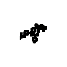 C[C@]1(NC(=O)C2CCc3c(-c4cccc(OC(F)F)c4)nn(C(=O)C4CCOCC4)c3C2)CCS(=O)(=O)C1